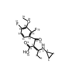 CCC(NC1CC1)=C(C(=O)O)C(=O)c1ccc(F)c(OC)c1F